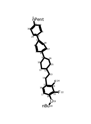 CCCCCc1ccc(-c2ccc(C3CCC(CCc4ccc(OCCCC)c(F)c4F)CC3)cc2)cc1